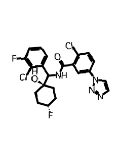 O=C(NC(c1cccc(F)c1Cl)[C@]1(O)CC[C@H](F)CC1)c1cc(-n2ccnn2)ccc1Cl